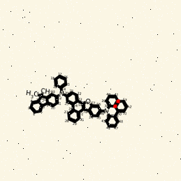 CC1(C)c2ccccc2-c2ccc(N(c3ccccc3)c3ccc4c(c3)c3ccccc3c3c5ccc(N(c6ccccc6)c6ccccc6-c6ccccc6)cc5oc43)cc21